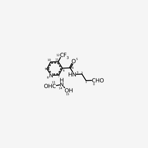 O=CCCNC(=O)c1cnccc1C(F)(F)F.O=CNO